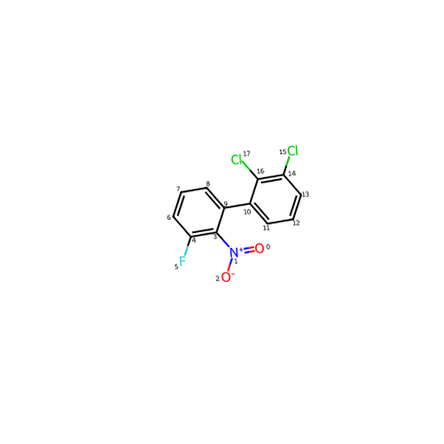 O=[N+]([O-])c1c(F)cccc1-c1cccc(Cl)c1Cl